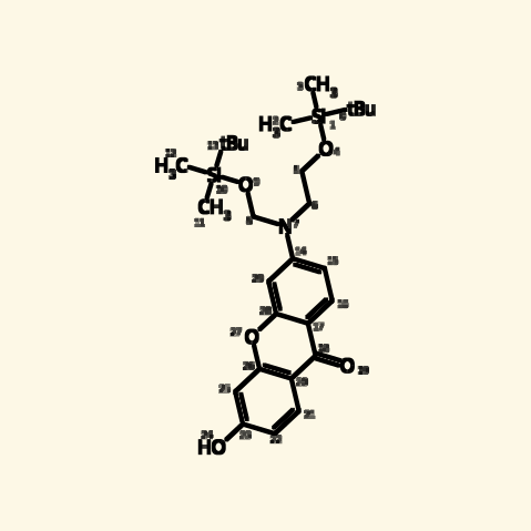 CC(C)(C)[Si](C)(C)OCCN(CO[Si](C)(C)C(C)(C)C)c1ccc2c(=O)c3ccc(O)cc3oc2c1